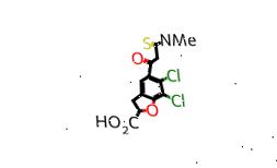 CNC(=S)CC(=O)c1cc2c(c(Cl)c1Cl)OC(C(=O)O)C2